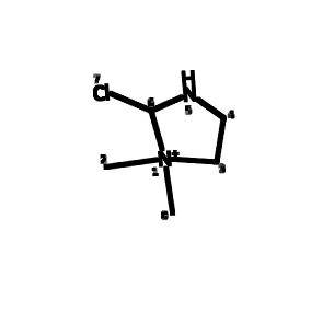 C[N+]1(C)CCNC1Cl